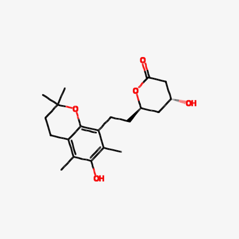 Cc1c(O)c(C)c2c(c1CC[C@@H]1C[C@@H](O)CC(=O)O1)OC(C)(C)CC2